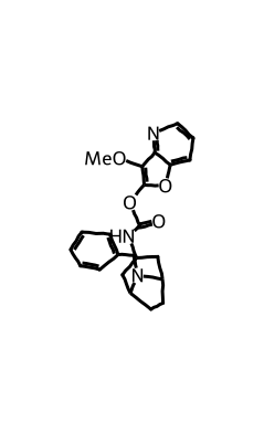 COc1c(OC(=O)NC2CC3CCC(C2)N3Cc2ccccc2)oc2cccnc12